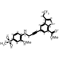 COC(=O)c1cc(C#CCNc2ccc(S(C)(=O)=O)cc2OC)cc2c(CC(F)(F)F)csc12